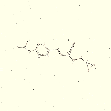 CC(C)Oc1ccc(C=CC(=O)OCC2CC2)cc1